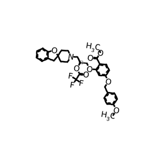 COC(=O)c1ccc(OCc2ccc(OC)cc2)cc1OC[C@H](CN1CCC2(CC1)Cc1ccccc1O2)OC(=O)C(F)(F)F